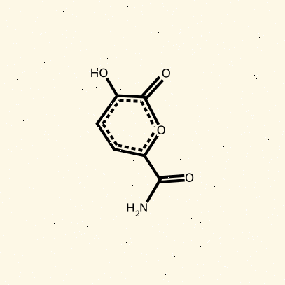 NC(=O)c1ccc(O)c(=O)o1